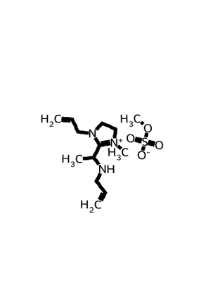 C=CCNC(C)C1=[N+](C)CCN1CC=C.COS(=O)(=O)[O-]